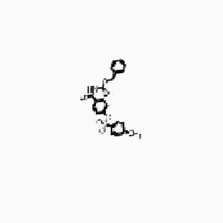 CCC(NC(=O)OCc1ccccc1)c1ccc(OS(=O)(=O)c2ccc(C)cc2)cc1